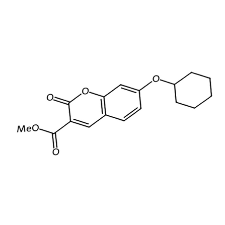 COC(=O)c1cc2ccc(OC3CCCCC3)cc2oc1=O